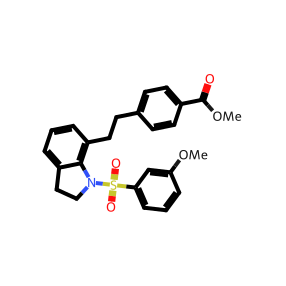 COC(=O)c1ccc(CCc2cccc3c2N(S(=O)(=O)c2cccc(OC)c2)CC3)cc1